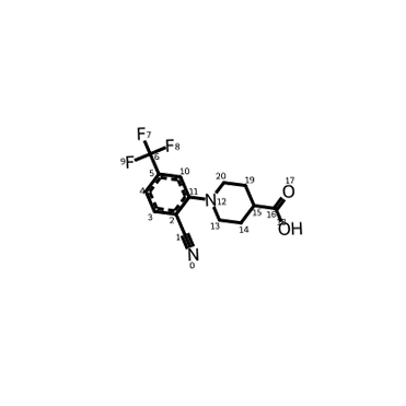 N#Cc1ccc(C(F)(F)F)cc1N1CCC(C(=O)O)CC1